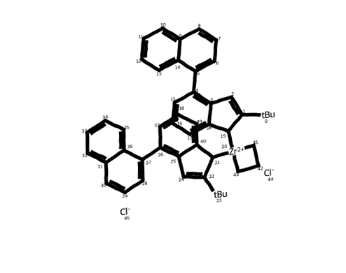 CC(C)(C)C1=Cc2c(-c3cccc4ccccc34)cccc2[CH]1[Zr+2]1([CH]2C(C(C)(C)C)=Cc3c(-c4cccc5ccccc45)cccc32)[CH2]C[CH2]1.[Cl-].[Cl-]